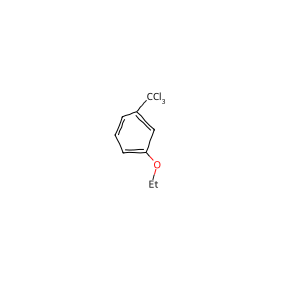 CCOc1cccc(C(Cl)(Cl)Cl)c1